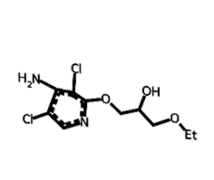 CCOCC(O)COc1ncc(Cl)c(N)c1Cl